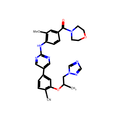 COc1cc(C(=O)N2CCOCC2)ccc1Nc1ncc(-c2ccc(C#N)c(OC(C)Cn3cncn3)c2)cn1